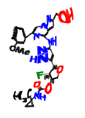 COc1cccc(-c2cn3nc(CO)cc3c(Nc3cc([C@@H]4OC[C@H](OC(=O)NC5(C)CC5)[C@@H]4F)[nH]n3)n2)c1